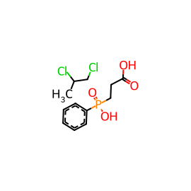 CC(Cl)CCl.O=C(O)CCP(=O)(O)c1ccccc1